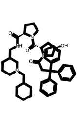 O=C(NCC1CCCN(CC2CCCCC2)C1)[C@H]1CCCN1C(=O)[C@@H]1C[C@@H](O)CN1C(=O)CC(c1ccccc1)(c1ccccc1)c1ccccc1